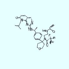 C=CC(=O)NCCN(C(=O)C(F)(F)F)C1(c2ccc([C@H](C)Nc3ncc4ccc(=O)n(C(C)C)c4n3)cc2)CCOCC1